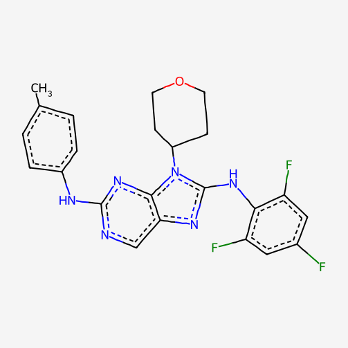 Cc1ccc(Nc2ncc3nc(Nc4c(F)cc(F)cc4F)n(C4CCOCC4)c3n2)cc1